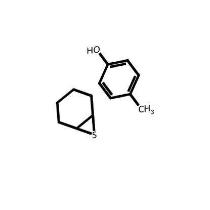 C1CCC2SC2C1.Cc1ccc(O)cc1